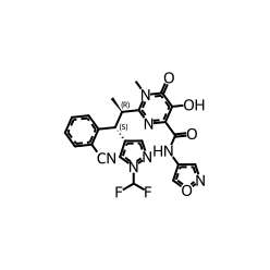 C[C@@H](c1nc(C(=O)Nc2cnoc2)c(O)c(=O)n1C)[C@H](c1cnn(C(F)F)c1)c1ccccc1C#N